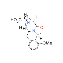 COc1cccc2c1[C@@H]1CO[C@@H]3[C@@H]4C[C@@H](C(=O)O)[C@H]([C@H](C2)N31)N4C